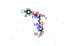 C=C(CCC(=O)Nc1ncc(OC)cn1)NC(=O)COc1ccc(Cl)c(F)c1